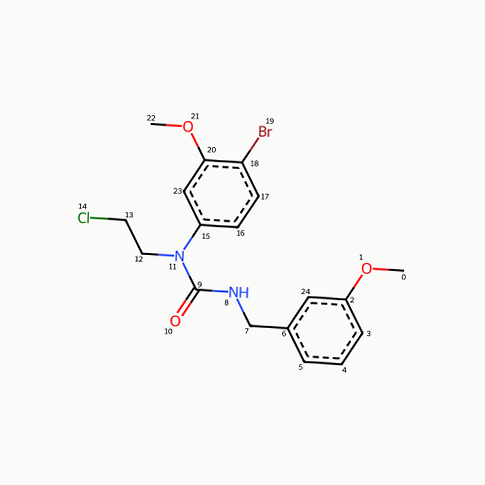 COc1cccc(CNC(=O)N(CCCl)c2ccc(Br)c(OC)c2)c1